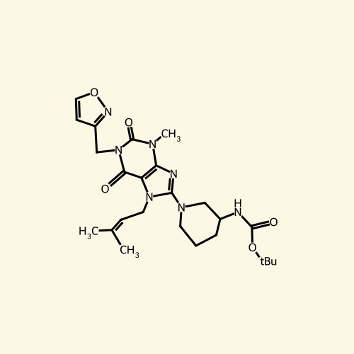 CC(C)=CCn1c(N2CCCC(NC(=O)OC(C)(C)C)C2)nc2c1c(=O)n(Cc1ccon1)c(=O)n2C